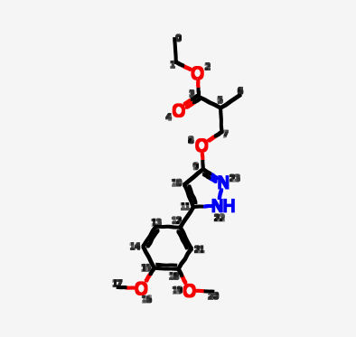 CCOC(=O)C(C)COc1cc(-c2ccc(OC)c(OC)c2)[nH]n1